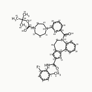 Cc1cccc(F)c1NC(=O)c1cc2c(s1)-c1ccccc1N(C(=O)c1cccc(N3CCCN(C(=O)OC(C)(C)C)CC3)n1)CC2